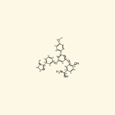 COc1ccc(-c2nc(Oc3cccc(C4=NCCN4C)c3)cc(Oc3cc(C(=N)N)ccc3O)n2)cc1